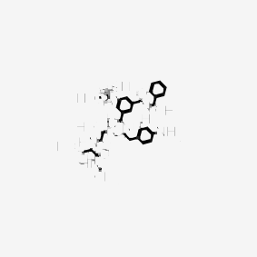 CCNC(=O)[C@@H](NC(=O)[C@H](C)NC[C@H](Cc1ccc(N)cc1)NC(=O)c1cc(C(=O)N[C@H](C)c2ccccc2)cc(N(C)S(C)(=O)=O)c1)C(C)C